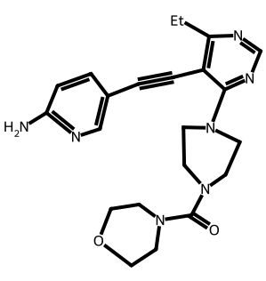 CCc1ncnc(N2CCN(C(=O)N3CCOCC3)CC2)c1C#Cc1ccc(N)nc1